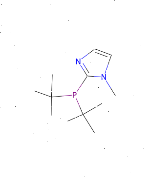 Cn1ccnc1P(C(C)(C)C)C(C)(C)C